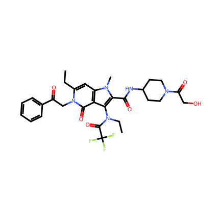 CCc1cc2c(c(N(CC)C(=O)C(F)(F)F)c(C(=O)NC3CCN(C(=O)CO)CC3)n2C)c(=O)n1CC(=O)c1ccccc1